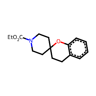 CCOC(=O)N1CCC2(CCc3ccccc3O2)CC1